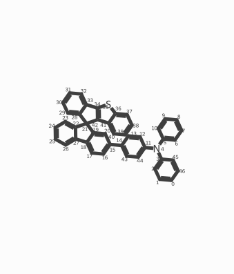 c1ccc(N(c2ccccc2)c2ccc(-c3ccc4c(c3)C3(c5ccccc5-4)c4ccccc4-c4sc5ccccc5c43)cc2)cc1